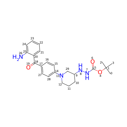 CC(C)(C)OC(=O)NNC1CCCN(c2ccc(C(=O)c3ccccc3N)cc2)C1